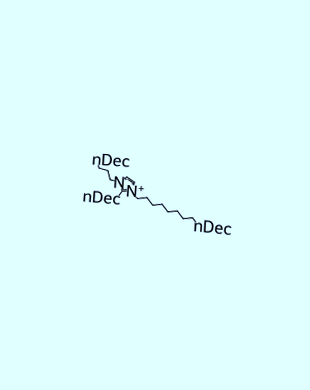 CCCCCCCCCCCCCCCCCC[n+]1ccn(CCCCCCCCCCCCC)c1CCCCCCCCCC